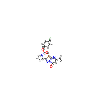 CC(C)c1cc(=O)n2nc(C3CCCN3C(=O)Oc3ccc(F)cc3)sc2n1